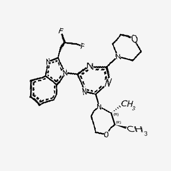 C[C@@H]1[C@@H](C)OCCN1c1nc(N2CCOCC2)nc(-n2c(C(F)F)nc3ccccc32)n1